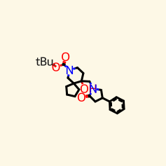 CC(C)(C)OC(=O)N1CCC(O)(CN2CC(c3ccccc3)CC2=O)C2(CCCC2)C1